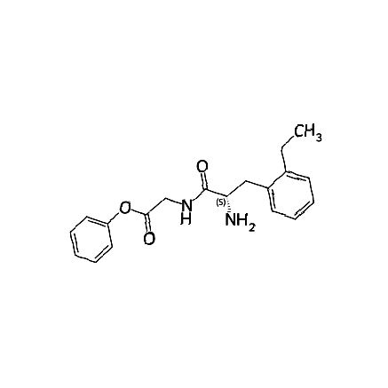 CCc1ccccc1C[C@H](N)C(=O)NCC(=O)Oc1ccccc1